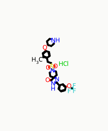 Cc1cc(OC2CCNCC2)ccc1CCS(=O)(=O)N1CCC2(CC1)N=C(c1cccc(OC(F)(F)F)c1)NC2=O.Cl